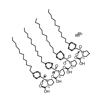 CCCCCCCCCCCCc1ccc(S(=O)(=O)N2CCC[C@H]2C(=O)O)cc1.CCCCCCCCCCCCc1ccc(S(=O)(=O)N2CCC[C@H]2C(=O)O)cc1.CCCCCCCCCCCCc1ccc(S(=O)(=O)N2CCC[C@H]2C(=O)O)cc1.CCCCCCCCCCCCc1ccc(S(=O)(=O)N2CCC[C@H]2C(=O)O)cc1.[Rh].[Rh]